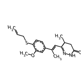 C=CCSc1ccc(C(C)=CC2=NNC(=O)CC2C)cc1OC